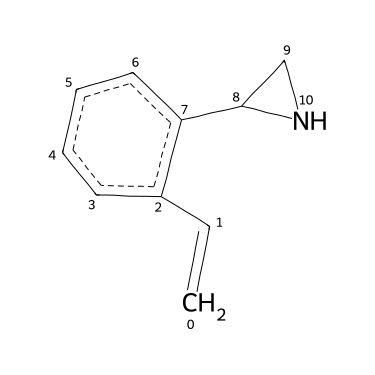 C=Cc1ccccc1C1CN1